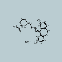 Cl.O=C(O)[C@@H]1CCCN(CCON=C2c3cc(Cl)ccc3CCc3ccc(Cl)cc32)C1